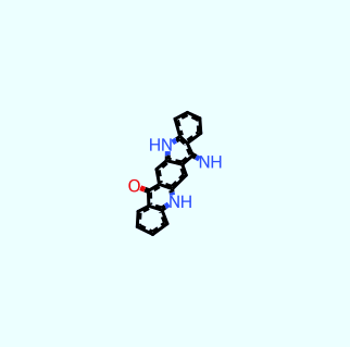 N=c1c2ccccc2[nH]c2cc3c(=O)c4ccccc4[nH]c3cc12